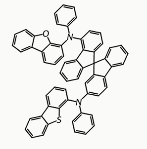 c1ccc(N(c2cccc3c2-c2ccccc2C32c3ccccc3-c3ccc(N(c4ccccc4)c4cccc5c4sc4ccccc45)cc32)c2cccc3c2oc2ccccc23)cc1